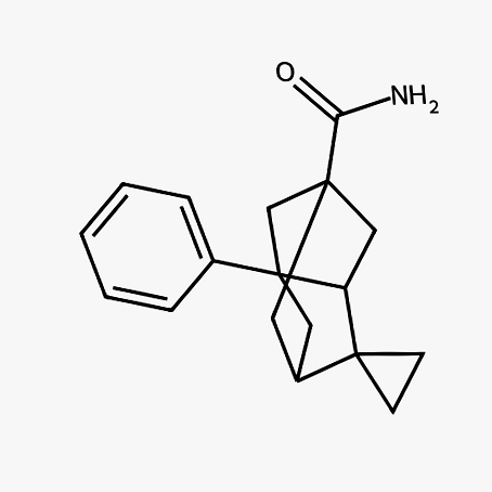 NC(=O)C12CC3CC(c4ccccc4)(C1)C(C2)C31CC1